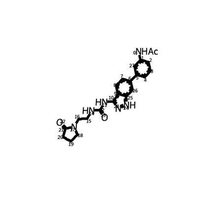 CC(=O)Nc1cccc(-c2ccc3c(NC(=O)NCCN4CCCC4=O)n[nH]c3c2)c1